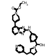 CCOC(=O)N1CC=C(c2cccn3nc(Nc4ccc(C(O)N5CCC(Cc6ccncc6)C5)cc4)nc23)CC1